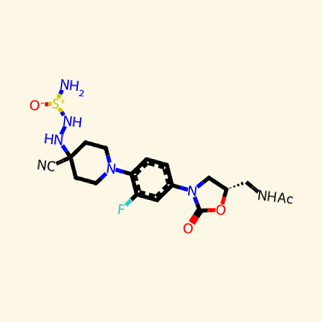 CC(=O)NC[C@H]1CN(c2ccc(N3CCC(C#N)(NN[S+](N)[O-])CC3)c(F)c2)C(=O)O1